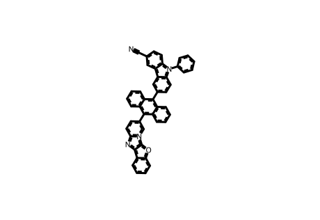 N#Cc1ccc2c(c1)c1cc(-c3c4ccccc4c(-c4ccc5nc6c7ccccc7oc6n5c4)c4ccccc34)ccc1n2-c1ccccc1